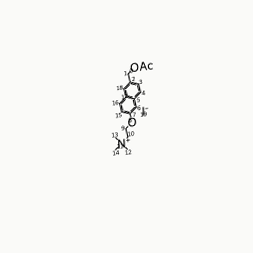 CC(=O)OCc1ccc2cc(OCC[N+](C)(C)C)ccc2c1.[I-]